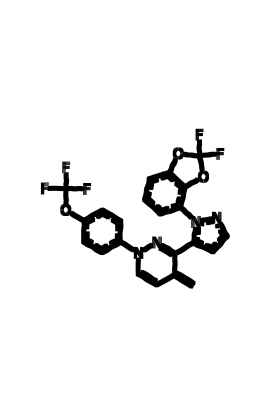 C=C1C=CN(c2ccc(OC(F)(F)F)cc2)N=C1c1ccnn1-c1cccc2c1OC(F)(F)O2